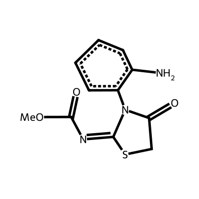 COC(=O)/N=C1/SCC(=O)N1c1ccccc1N